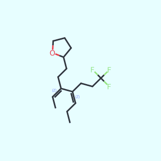 C/C=C(CCC1CCCO1)\C(=C/CC)CCC(F)(F)F